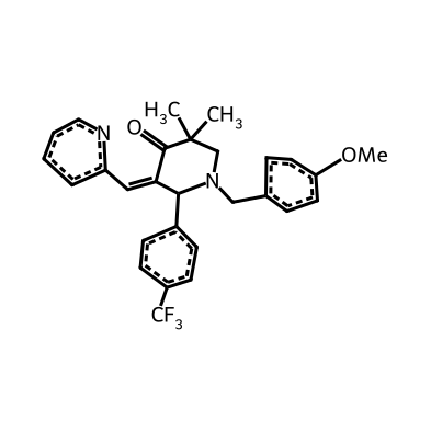 COc1ccc(CN2CC(C)(C)C(=O)C(=Cc3ccccn3)C2c2ccc(C(F)(F)F)cc2)cc1